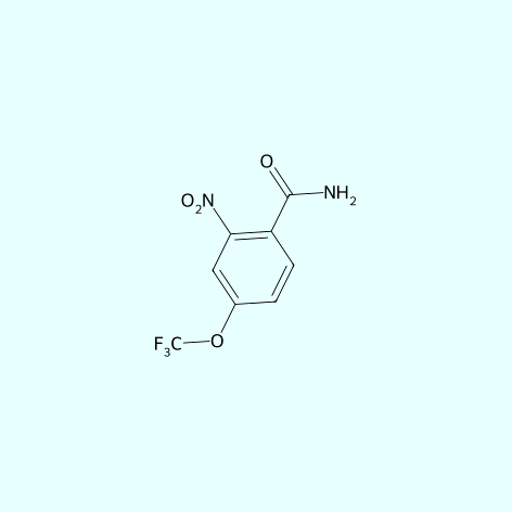 NC(=O)c1ccc(OC(F)(F)F)cc1[N+](=O)[O-]